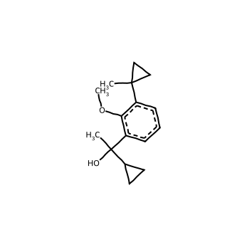 COc1c(C2(C)CC2)cccc1C(C)(O)C1CC1